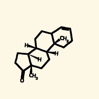 C[C@]12CCC=CC1CC[C@@H]1[C@H]2CC[C@]2(C)C(=O)CC[C@@H]12